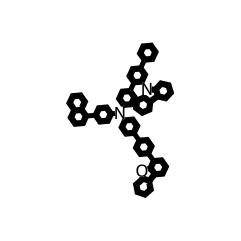 c1ccc(-c2ccc(-c3ccc(N(c4ccc(-c5ccc(-c6cccc7c6oc6ccccc67)cc5)cc4)c4ccc(-c5cccc6ccccc56)cc4)cc3)c(-n3c4ccccc4c4ccccc43)c2)cc1